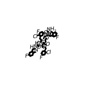 CC1(CCOC(N)(CC[C@H](COC(=O)Nc2cc3cc(F)ccc3cn2)Cc2cccc(F)c2Cl)C2=Cc3cc(F)ccc3CN2C(N)=O)CCN(Cc2ccc(F)cc2Cl)C1=O